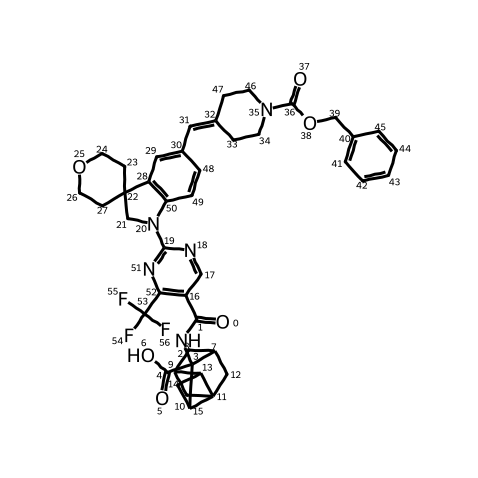 O=C(NC1(C(=O)O)C2CC3CC4(C2)C3CC41)c1cnc(N2CC3(CCOCC3)c3cc(C=C4CCN(C(=O)OCc5ccccc5)CC4)ccc32)nc1C(F)(F)F